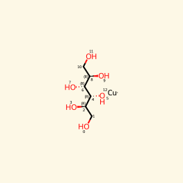 OC[C@@H](O)[C@@H](O)[C@H](O)[C@H](O)CO.[Cu]